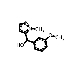 COc1cccc(C(O)c2ccnn2C)c1